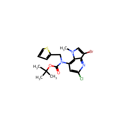 Cn1cc(Br)c2nc(Cl)cc(N(Cc3cccs3)C(=O)OC(C)(C)C)c21